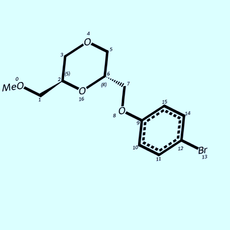 COC[C@H]1COC[C@H](COc2ccc(Br)cc2)O1